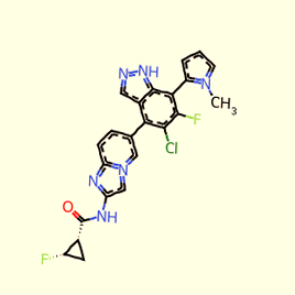 Cn1cccc1-c1c(F)c(Cl)c(-c2ccc3nc(NC(=O)[C@@H]4C[C@@H]4F)cn3c2)c2cn[nH]c12